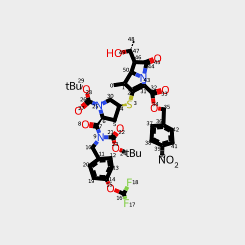 CC1C(S[C@H]2C[C@@H](C(=O)N(Cc3ccc(OC(F)F)cc3)C(=O)OC(C)(C)C)N(C(=O)OC(C)(C)C)C2)=C(C(=O)OCc2ccc([N+](=O)[O-])cc2)N2C(=O)C([C@@H](C)O)C12